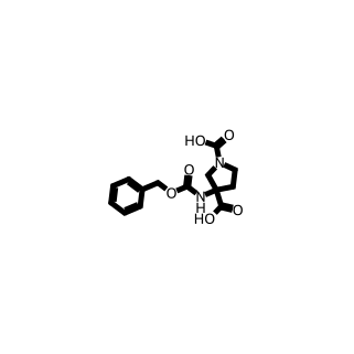 O=C(NC1(C(=O)O)CCN(C(=O)O)C1)OCc1ccccc1